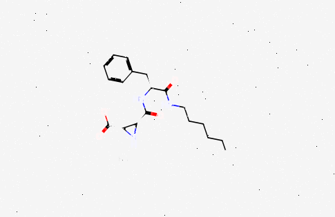 CCCCCCNC(=O)[C@H](Cc1ccccc1)NC(=O)[C@H]1N[C@@H]1C(=O)[O-].[Na+]